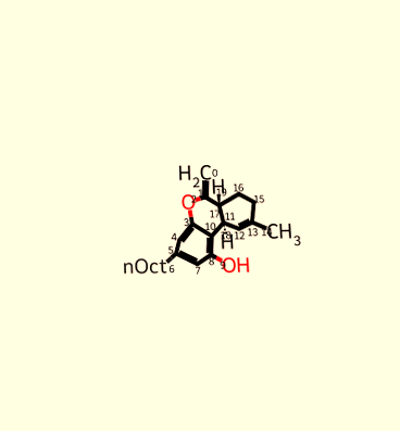 C=C1Oc2cc(CCCCCCCC)cc(O)c2[C@@H]2C=C(C)CC[C@@H]12